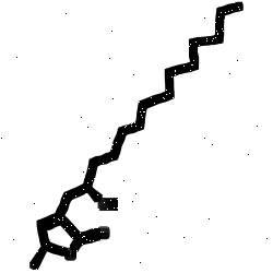 CCCCCCCCCCCC[C@@H](O)CC1=C[C@H](C)OC1=O